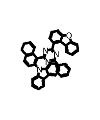 C1=Cc2c(ccc(-n3c4ccccc4c4ccccc43)c2-c2nc(-c3ccccc3)nc(-c3cccc4oc5ccccc5c34)n2)CC1